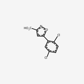 O=C(O)c1cc(-c2cc(Cl)ccc2Cl)on1